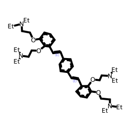 CCN(CC)CCOc1cccc(/C=C/c2ccc(/C=C/c3cccc(OCCN(CC)CC)c3OCCN(CC)CC)cc2)c1OCCN(CC)CC